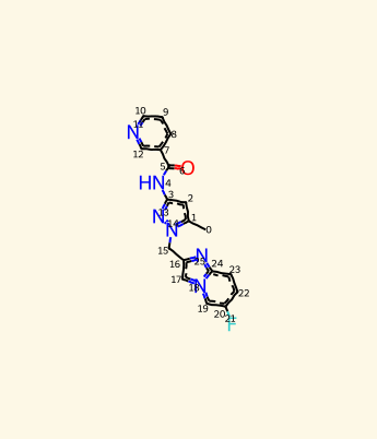 Cc1cc(NC(=O)c2cccnc2)nn1Cc1cn2cc(F)ccc2n1